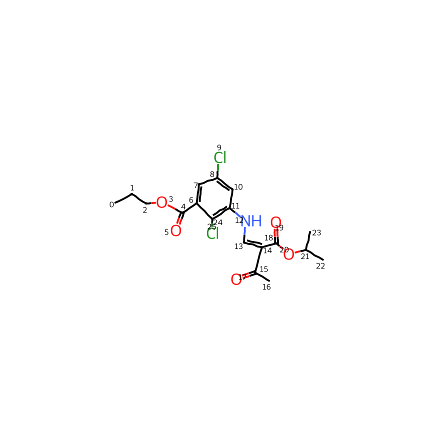 CCCOC(=O)c1cc(Cl)cc(NC=C(C(C)=O)C(=O)OC(C)C)c1Cl